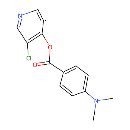 CN(C)c1ccc(C(=O)Oc2[c]cncc2Cl)cc1